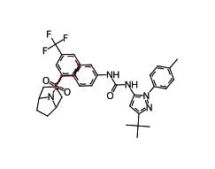 Cc1ccc(-n2nc(C(C)(C)C)cc2NC(=O)Nc2ccc(CC3CC4CCC(C3)N4S(=O)(=O)c3cccc(C(F)(F)F)c3)cc2)cc1